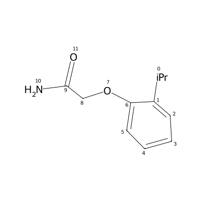 CC(C)c1ccccc1OCC(N)=O